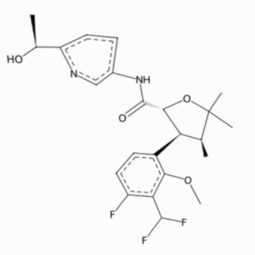 COc1c([C@H]2[C@H](C(=O)Nc3ccc([C@H](C)O)nc3)OC(C)(C)[C@H]2C)ccc(F)c1C(F)F